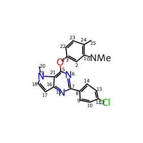 CNc1cc(Oc2nc(-c3ccc(Cl)cc3)nc3ccn(C)c23)ccc1C